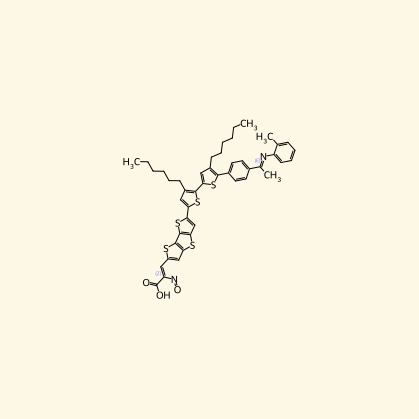 CCCCCCc1cc(-c2sc(-c3cc4sc5cc(/C=C(\N=O)C(=O)O)sc5c4s3)cc2CCCCCC)sc1-c1ccc(/C(C)=N/c2ccccc2C)cc1